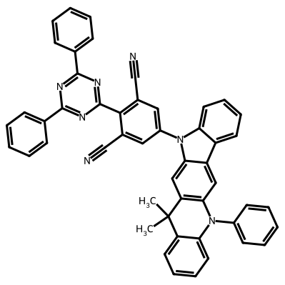 CC1(C)c2ccccc2N(c2ccccc2)c2cc3c4ccccc4n(-c4cc(C#N)c(-c5nc(-c6ccccc6)nc(-c6ccccc6)n5)c(C#N)c4)c3cc21